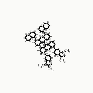 Cc1nn(C)c2cc(-c3cccc4c(-c5c6cccc(-c7cccc8ccccc78)c6cc6c(-c7cccc8ccccc78)cccc56)c5cccc(-c6ccc7nc(C)n(C)c7c6)c5cc34)ccc12